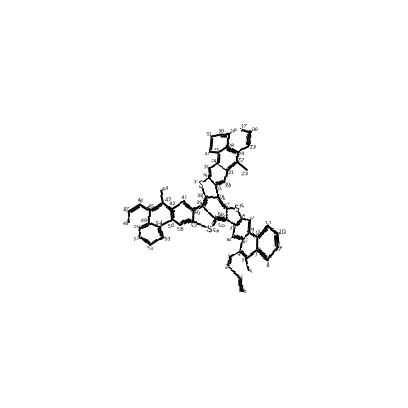 C=C/C=C\c1c(C)c2ccccc2c2cc3sc4c5c6cc7c(C)c(/C=C\C)c8ccccc8c7cc6sc5c5c6cc7c(C)c(/C=C\C)c8ccccc8c7cc6sc5c4c3cc12